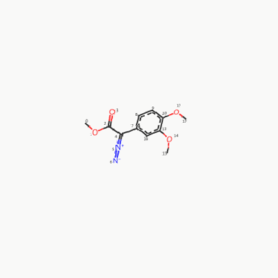 COC(=O)C(=[N+]=[N-])c1ccc(OC)c(OC)c1